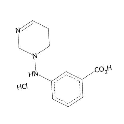 Cl.O=C(O)c1cccc(NN2CCC=NC2)c1